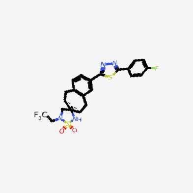 O=S1(=O)NC2(CN1CC(F)(F)F)C1CCC2Cc2cc(-c3nnc(-c4ccc(F)cc4)s3)ccc2C1